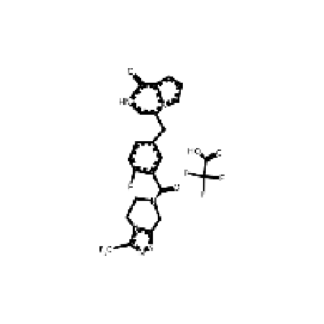 O=C(O)C(F)(F)F.O=C(c1cc(Cc2c[nH]c(=O)c3cccn23)ccc1F)N1CCn2c(nnc2C(F)(F)F)C1